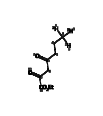 [2H]C([2H])([2H])CCC(=O)CC(=O)C(=O)OCC